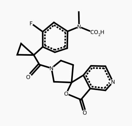 CN(C(=O)O)c1ccc(C2(C(=O)N3CCC4(C3)OC(=O)c3cnccc34)CC2)c(F)c1